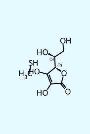 CS.O=C1O[C@H]([C@@H](O)CO)C(O)=C1O